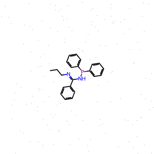 CCC/N=C(/NP(c1ccccc1)c1ccccc1)c1ccccc1